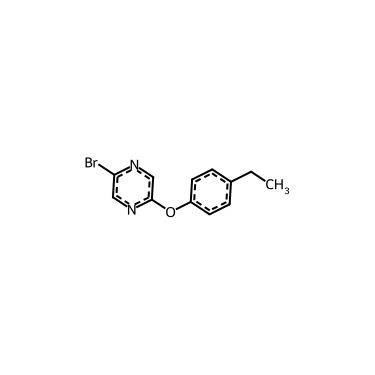 CCc1ccc(Oc2cnc(Br)cn2)cc1